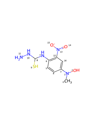 CN(O)c1ccc(NC(S)NN)c([N+](=O)[O-])c1